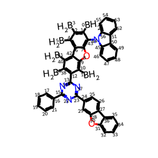 Bc1c(B)c(B)c2c(oc3c(B)c(-c4nc(-c5ccccc5)nc(-c5ccc6c(c5)oc5ccccc56)n4)c(B)c(B)c32)c1-n1c2ccccc2c2ccccc21